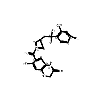 O=C1COc2cc(F)c(C(=O)N3CC(CC(F)(F)c4ccc(F)cc4Cl)C3)cc2N1